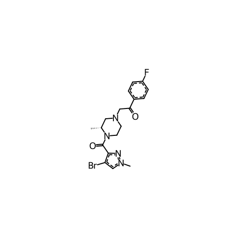 C[C@@H]1CN(CC(=O)c2ccc(F)cc2)CCN1C(=O)c1nn(C)cc1Br